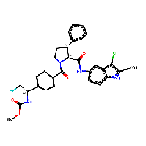 CC(C)(C)OC(=O)N[C@H](CF)C1CCC(C(=O)N2CC[C@H](c3ccccc3)[C@H]2C(=O)Nc2ccc3[nH]c(C(=O)O)c(Cl)c3c2)CC1